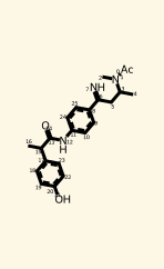 CC(=O)N(C)C(C)CC(=N)c1ccc(NC(=O)C(C)c2ccc(O)cc2)cc1